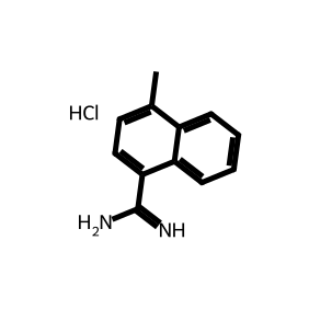 Cc1ccc(C(=N)N)c2ccccc12.Cl